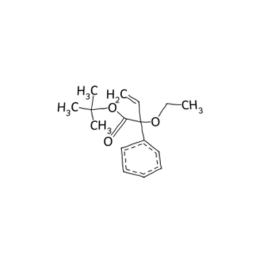 C=CC(OCC)(C(=O)OC(C)(C)C)c1ccccc1